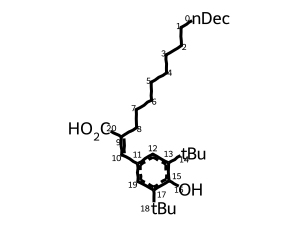 CCCCCCCCCCCCCCCCCCC(=Cc1cc(C(C)(C)C)c(O)c(C(C)(C)C)c1)C(=O)O